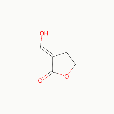 O=C1OCC/C1=C\O